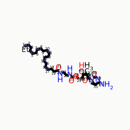 CC/C=C\C/C=C\C/C=C\C/C=C\C/C=C\C/C=C\CCC(=O)NCCNC(=O)OC[C@H]1O[C@@H](n2ccc(N)nc2=O)[C@](C)(F)[C@@H]1O